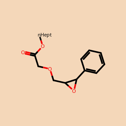 CCCCCCCOC(=O)COCC1OC1c1ccccc1